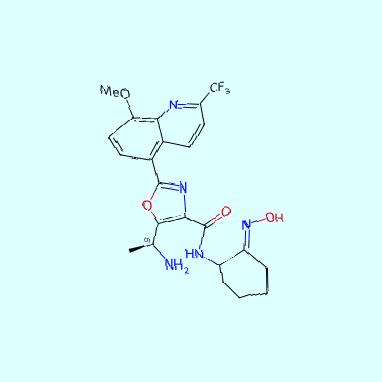 COc1ccc(-c2nc(C(=O)NC3CCCCC3=NO)c([C@H](C)N)o2)c2ccc(C(F)(F)F)nc12